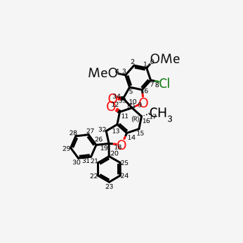 COc1cc(OC)c2c(c1Cl)O[C@@]1(C(=O)C3=C(C[C@H]1C)OC(c1ccccc1)(c1ccccc1)C3)C2=O